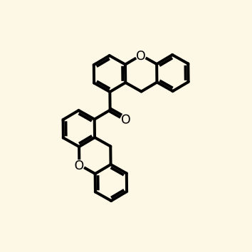 O=C(c1cccc2c1Cc1ccccc1O2)c1cccc2c1Cc1ccccc1O2